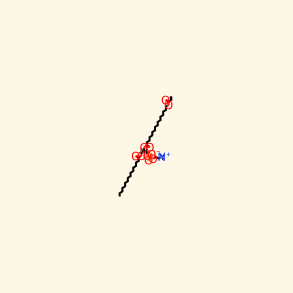 C=CC(=O)OCCCCCCCCCCCCCCCC(=O)O[C@H](COC(=O)CCCCCCCCCCCCCCC)COP(=O)([O-])OCC[N+](C)(C)C